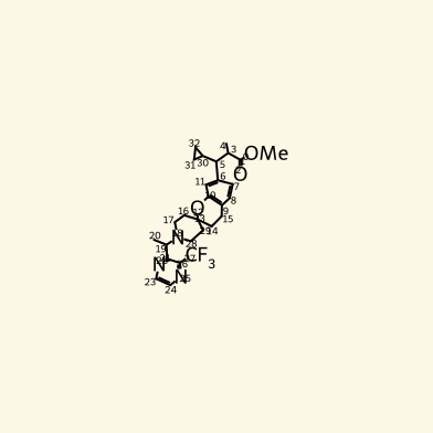 COC(=O)C(C)C(c1ccc2c(c1)OC1(CC2)CCN(C(C)c2nccnc2C(F)(F)F)CC1)C1CC1